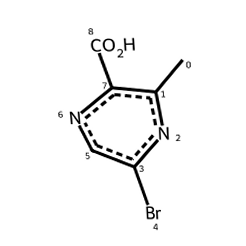 Cc1nc(Br)cnc1C(=O)O